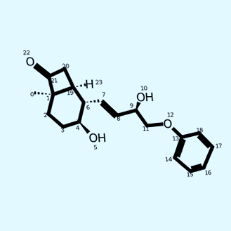 C[C@@]12CC[C@H](O)[C@@H](/C=C/[C@@H](O)COc3ccccc3)[C@@H]1CC2=O